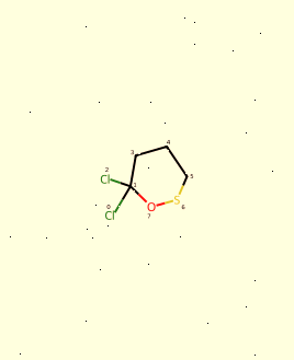 ClC1(Cl)CCCSO1